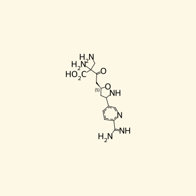 N=C(N)c1ccc(C2C[C@@H](CC(=O)C(N)(CN)C(=O)O)ON2)cn1